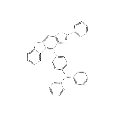 c1ccc(-c2nc3c(-c4ccc(N(c5ccccc5)c5ccccc5)cc4)c4c(cc3o2)oc2ccccc24)cc1